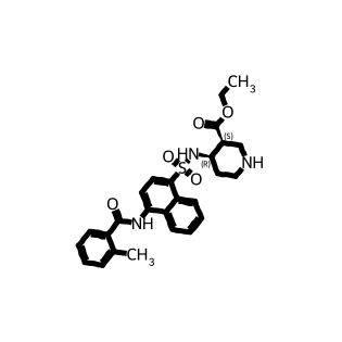 CCOC(=O)[C@H]1CNCC[C@H]1NS(=O)(=O)c1ccc(NC(=O)c2ccccc2C)c2ccccc12